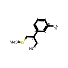 CSSCC(CC#N)c1cccc(C#N)c1